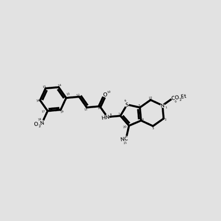 CCOC(=O)N1CCc2c(sc(NC(=O)C=Cc3cccc([N+](=O)[O-])c3)c2C#N)C1